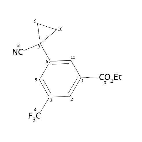 CCOC(=O)c1cc(C(F)(F)F)cc(C2(C#N)CC2)c1